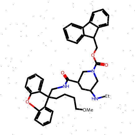 CCNC1CC(C(=O)NCC2(CCCCOC)c3ccccc3Oc3ccccc32)CN(C(=O)OCC2c3ccccc3-c3ccccc32)C1